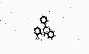 Cc1ccccc1O.c1ccc(C2CCc3ccccc3O2)cc1